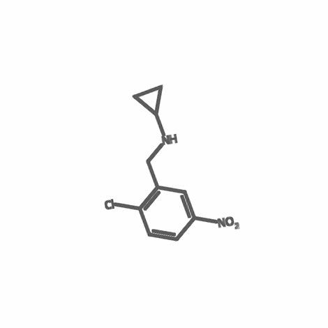 O=[N+]([O-])c1ccc(Cl)c(CNC2CC2)c1